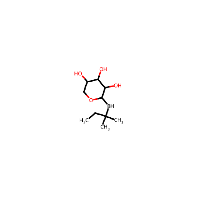 CCC(C)(C)BC1OCC(O)C(O)C1O